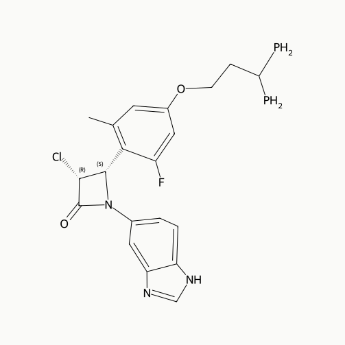 Cc1cc(OCCC(P)P)cc(F)c1[C@H]1[C@@H](Cl)C(=O)N1c1ccc2[nH]cnc2c1